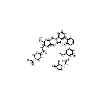 COc1cc(-c2cccc(-c3cccc4c3cnn4Cc3nc(OC)c(CN(C)[C@H]4CC[C@H](C(=O)O)CC4)cc3Cl)c2Cl)cc(F)c1CNC[C@@H]1CCC(=O)N1